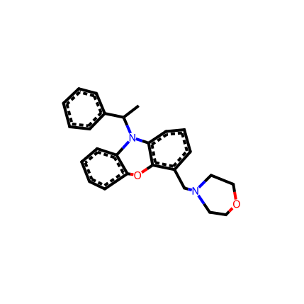 CC(c1ccccc1)N1c2ccccc2Oc2c(CN3CCOCC3)cccc21